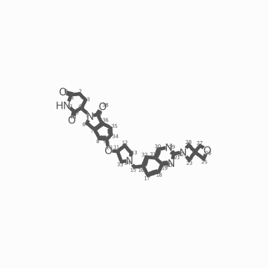 O=C1CCC(N2Cc3cc(OC4CCN(Cc5ccc6nc(N7CC8(COC8)C7)ncc6c5)C4)ccc3C2=O)C(=O)N1